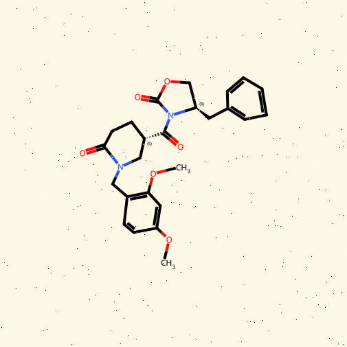 COc1ccc(CN2C[C@@H](C(=O)N3C(=O)OC[C@H]3Cc3ccccc3)CCC2=O)c(OC)c1